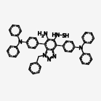 Nc1c(NS)c(-c2ccc(N(c3ccccc3)c3ccccc3)cc2)c2nnn(Cc3ccccc3)c2c1-c1ccc(N(c2ccccc2)c2ccccc2)cc1